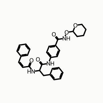 O=C(/C=C\c1ccccc1)NC(Cc1ccccc1)C(=O)Nc1ccc(C(=O)NOC2CCCCO2)cc1